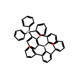 c1ccc(-c2cccc(-c3ccccc3)c2B2c3ccccc3Oc3c2cccc3[Si](c2ccccc2)(c2ccccc2)c2ccccc2)cc1